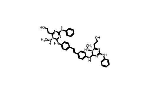 CNN1C(CCO)=NC(Nc2ccccc2)=NC1Nc1ccc(C=Cc2ccc(NC3N=C(Nc4ccccc4)N=C(CCO)N3NC)cc2)cc1